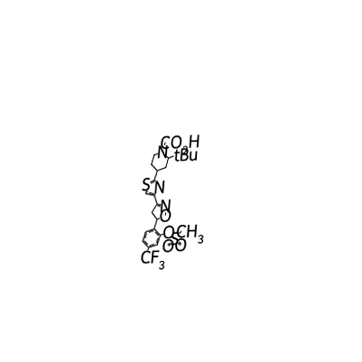 CC(C)(C)C1CC(c2nc(C3=NOC(c4ccc(C(F)(F)F)cc4OS(C)(=O)=O)C3)cs2)CCN1C(=O)O